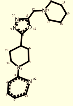 c1ccc(N2CCC(c3nnc(CN4CCCCC4)o3)CC2)nc1